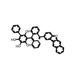 C=C(c1ccc2oc3cc4ccccc4cc3c2c1)c1ccccc1/C(=C1/C=CC=CC1)c1c(O)c(O)c(O)c(-c2ccccc2)c1O